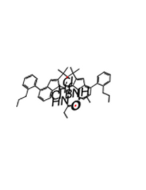 CCCc1ccccc1-c1cccc2c1C=C(C(C)(C)C)[CH]2[Hf]([Cl])([Cl])([B](NC(=O)CC)NC(=O)CC)[CH]1C(C(C)(C)C)=Cc2c(-c3ccccc3CCC)cccc21